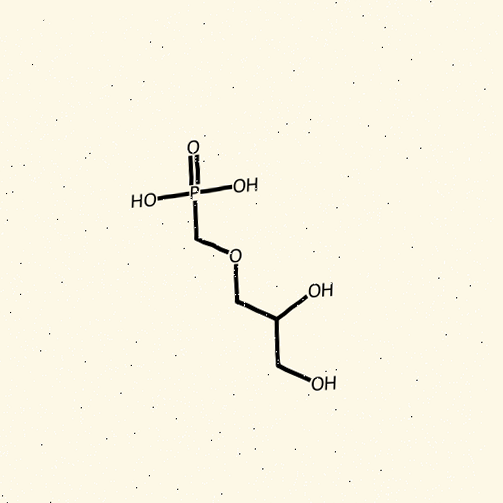 O=P(O)(O)COCC(O)CO